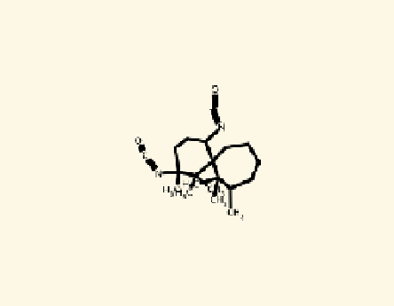 CC1CCCCC2(C(N=C=O)CCC(C)(N=C=O)C2(C)C)C1(C)C